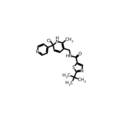 CC1=C(CNC(=O)c2cnc(C(C)(C)C)s2)C=CC(Cl)(c2ccncc2)N1